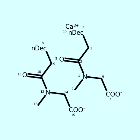 CCCCCCCCCCCC(=O)N(C)CC(=O)[O-].CCCCCCCCCCCC(=O)N(C)CC(=O)[O-].[Ca+2]